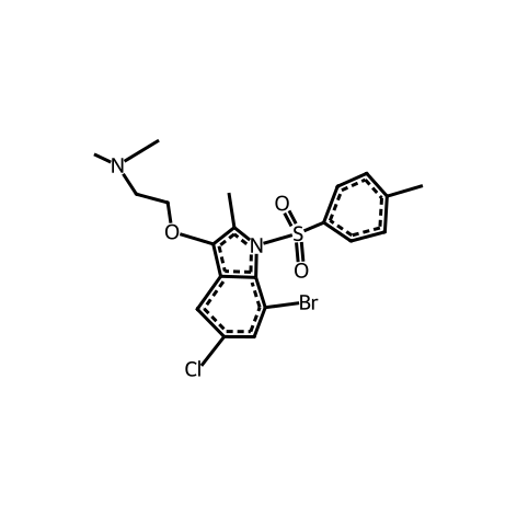 Cc1ccc(S(=O)(=O)n2c(C)c(OCCN(C)C)c3cc(Cl)cc(Br)c32)cc1